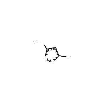 CCc1cc(OC)on1